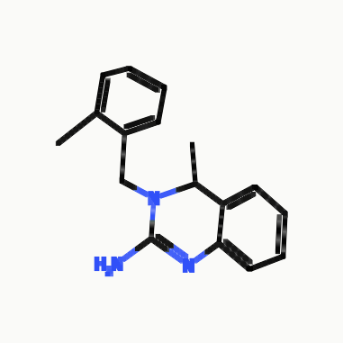 Cc1ccccc1CN1C(N)=Nc2ccccc2C1C